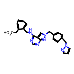 O=C(O)Cc1ccccc1CNc1ncnc2nn(Cc3ccc(Cn4cccn4)cc3)cc12